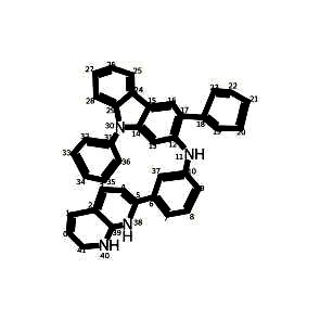 C1=CC2=CC=C(c3cccc(Nc4cc5c(cc4-c4ccccc4)c4ccccc4n5-c4ccccc4)c3)NC2NC1